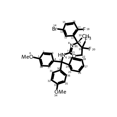 COc1ccc(C(NC2=N[C@](C)(c3cc(Br)ccc3F)C(F)(F)CO2)(c2ccccc2)c2ccc(OC)cc2)cc1